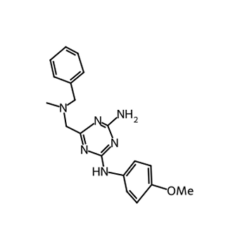 COc1ccc(Nc2nc(N)nc(CN(C)Cc3ccccc3)n2)cc1